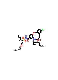 C=CC[C@H](C)[C@@H](CCOCCOC)S(=O)(=O)NC(=O)c1ccc2c(c1)N(C[C@@H]1CC[C@H]1[C@@H](O)/C=C/CCC)CCCCc1cc(Cl)ccc1CO2